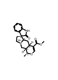 COC(=O)C1=CO[C@@H](C)[C@@H]2CN3CC[C@@]4(C(=O)Nc5ccccc54)[C@H]3C[C@H]12